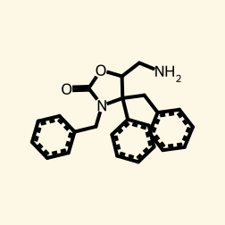 NCC1OC(=O)N(Cc2ccccc2)C1(Cc1ccccc1)c1ccccc1